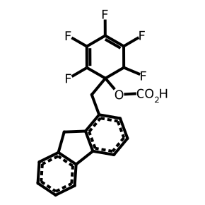 O=C(O)OC1(Cc2cccc3c2Cc2ccccc2-3)C(F)=C(F)C(F)=C(F)C1F